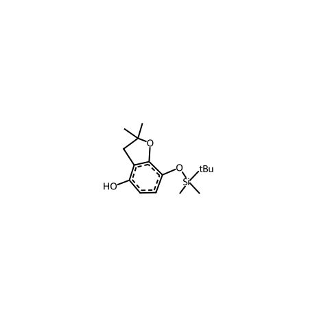 CC1(C)Cc2c(O)ccc(O[Si](C)(C)C(C)(C)C)c2O1